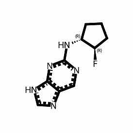 F[C@@H]1CCC[C@H]1Nc1ncc2nc[nH]c2n1